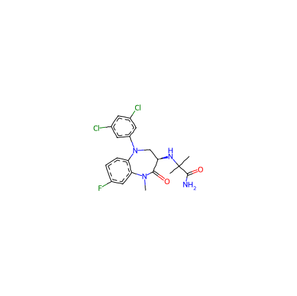 CN1C(=O)[C@H](NC(C)(C)C(N)=O)CN(c2cc(Cl)cc(Cl)c2)c2ccc(F)cc21